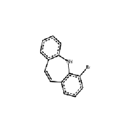 Brc1cccc2c1Nc1ccccc1C=C2